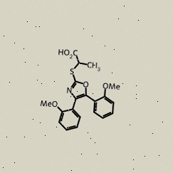 COc1ccccc1-c1nc(SC(C)C(=O)O)oc1-c1ccccc1OC